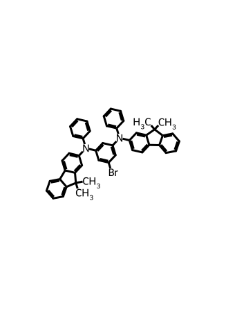 CC1(C)c2ccccc2-c2ccc(N(c3ccccc3)c3cc(Br)cc(N(c4ccccc4)c4ccc5c(c4)C(C)(C)c4ccccc4-5)c3)cc21